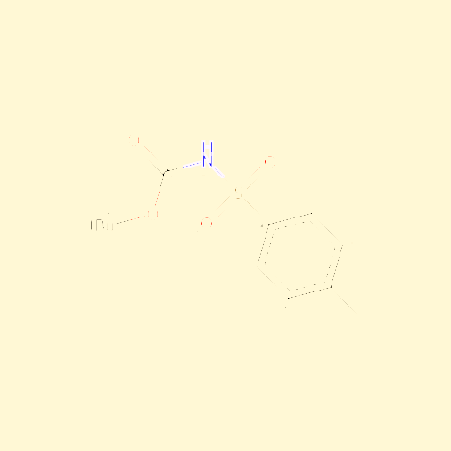 Cc1ccc(S(=O)(=O)NC(=O)OC(C)(C)C)cc1